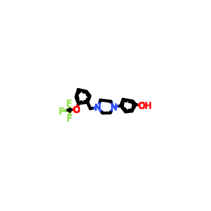 Oc1ccc(N2CCN(Cc3ccccc3OC(F)(F)F)CC2)cc1